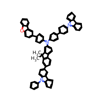 CC1(C)c2cc(-c3ccc4c(c3)c3ccccc3n4-c3ccccc3)ccc2-c2ccc(N(c3ccc(-c4ccc(-n5c6ccccc6c6ccccc65)cc4)cc3)c3ccc(-c4ccc5oc6ccccc6c5c4)cc3)cc21